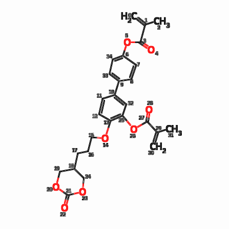 C=C(C)C(=O)Oc1ccc(-c2ccc(OCCCC3COC(=O)OC3)c(OC(=O)C(=C)C)c2)cc1